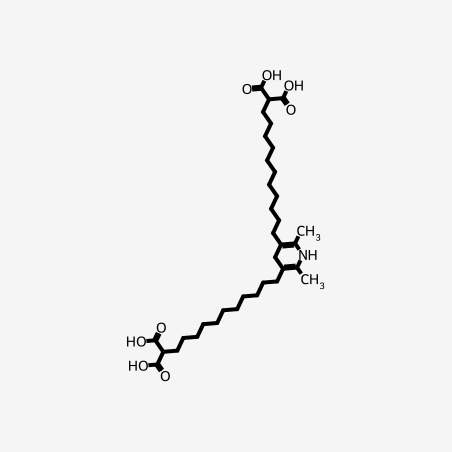 CC1=C(CCCCCCCCCCCC(C(=O)O)C(=O)O)CC(CCCCCCCCCCCC(C(=O)O)C(=O)O)=C(C)N1